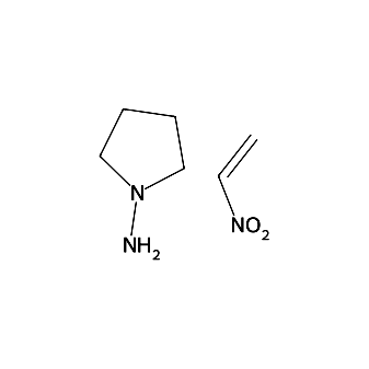 C=C[N+](=O)[O-].NN1CCCC1